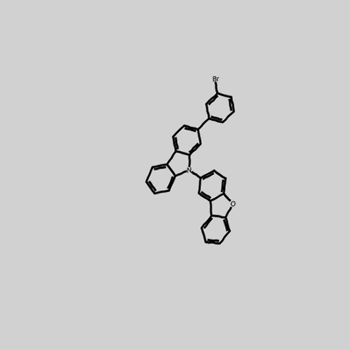 Brc1cccc(-c2ccc3c4ccccc4n(-c4ccc5oc6ccccc6c5c4)c3c2)c1